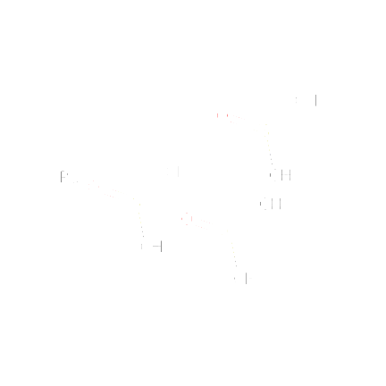 CS(C)=O.CS(C)=O.CS(C)=O.[Ru]